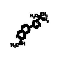 BC(C)(C)n1cc(-c2ccc3cnc(NC)cc3c2)cn1